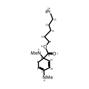 CNC1=CCC(NC)(C(=O)OCCCCCC(C)C)C=C1